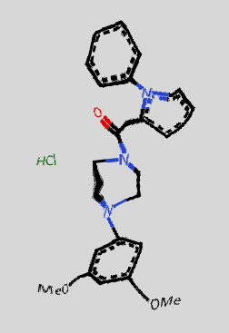 COc1cc(OC)cc(N2CCN(C(=O)c3cccn3-c3ccccc3)CC2)c1.Cl